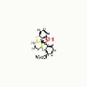 [CH2]Oc1cccc(C(O)C2(c3ccccc3)SCCCS2)c1